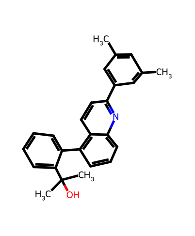 Cc1cc(C)cc(-c2ccc3c(-c4ccccc4C(C)(C)O)cccc3n2)c1